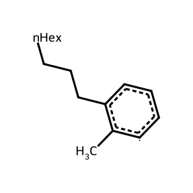 CCCCCCCCCc1ccc[c]c1C